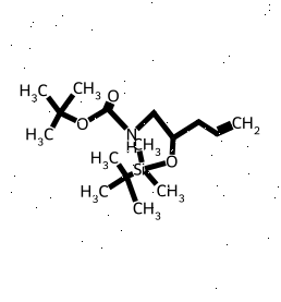 C=CCC(CNC(=O)OC(C)(C)C)O[Si](C)(C)C(C)(C)C